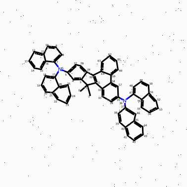 CC1(C)c2cc(N(c3cccc4ccccc34)c3cccc4ccccc34)ccc2-c2c1c1ccc(N(c3ccc4ccccc4c3)c3cccc4ccccc34)cc1c1ccccc21